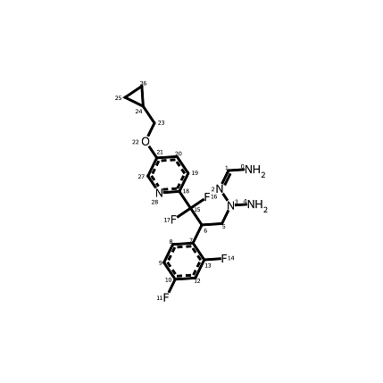 N/C=N\N(N)CC(c1ccc(F)cc1F)C(F)(F)c1ccc(OCC2CC2)cn1